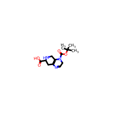 CC(C)(C)OC(=O)N1CC=NC2=C1CNC(C(=O)O)C2